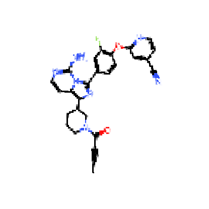 CC#CC(=O)N1CCCC(c2nc(-c3ccc(Oc4cc(C#N)ccn4)c(F)c3)n3c(N)nccc23)C1